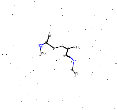 CCC(C)NC(CC)CCC(C)CNCC(C)C